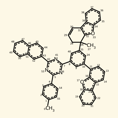 Cc1ccc(-c2nc(-c3cc(-c4cccc5c4oc4ccccc45)cc(C4(C)CC=Cc5c4oc4ccccc54)c3)nc(-c3ccc4ccccc4c3)n2)cc1